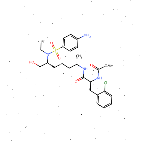 COC(=O)N[C@@H](Cc1ccccc1Cl)C(=O)N[C@@H](C)CCC[C@@H](CO)N(CC(C)C)S(=O)(=O)c1ccc(N)cc1